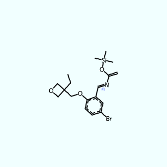 C=C(/N=C/c1cc(Br)ccc1OCC1(CC)COC1)O[Si](C)(C)C